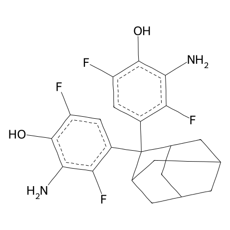 Nc1c(O)c(F)cc(C2(c3cc(F)c(O)c(N)c3F)C3CC4CC(C3)CC2C4)c1F